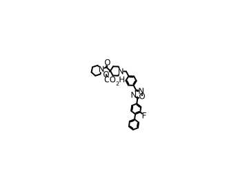 O=C(O)OC1(C(=O)N2CCCCC2)CCN(Cc2ccc(-c3noc(-c4ccc(-c5ccccc5)c(F)c4)n3)cc2)CC1